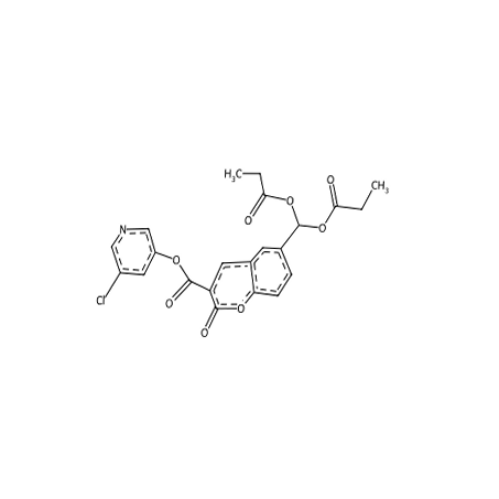 CCC(=O)OC(OC(=O)CC)c1ccc2oc(=O)c(C(=O)Oc3cncc(Cl)c3)cc2c1